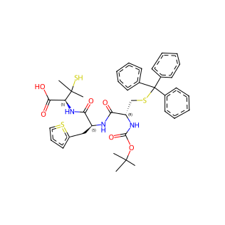 CC(C)(C)OC(=O)N[C@@H](CSC(c1ccccc1)(c1ccccc1)c1ccccc1)C(=O)N[C@@H](Cc1cccs1)C(=O)N[C@@H](C(=O)O)C(C)(C)S